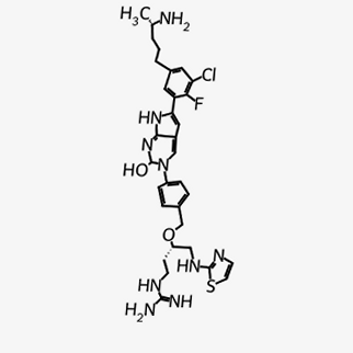 C[C@H](N)CCCc1cc(Cl)c(F)c(-c2cc3c([nH]2)=NC(O)N(c2ccc(CO[C@@H](CCNC(=N)N)CNc4nccs4)cc2)C=3)c1